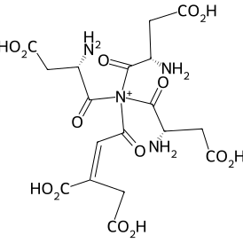 N[C@@H](CC(=O)O)C(=O)[N+](C(=O)C=C(CC(=O)O)C(=O)O)(C(=O)[C@@H](N)CC(=O)O)C(=O)[C@@H](N)CC(=O)O